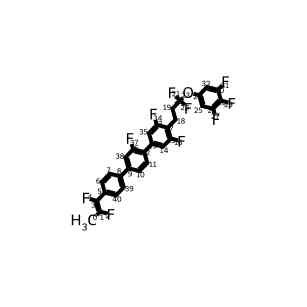 C/C(F)=C(\F)c1ccc(-c2ccc(-c3cc(F)c(CCC(F)(F)Oc4cc(F)c(F)c(F)c4)c(F)c3)c(F)c2)cc1